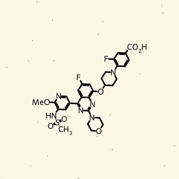 COc1ncc(-c2nc(N3CCOCC3)nc3c(OC4CCN(c5ccc(C(=O)O)cc5F)CC4)cc(F)cc23)cc1NS(C)(=O)=O